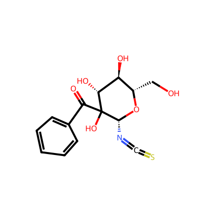 O=C(c1ccccc1)C1(O)[C@H](O)[C@@H](O)[C@H](CO)O[C@@H]1N=C=S